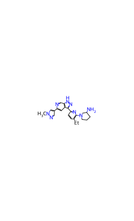 CCc1ccc(-c2n[nH]c3cnc(-c4cnn(C)c4)cc23)nc1N1CCC[C@H](N)C1